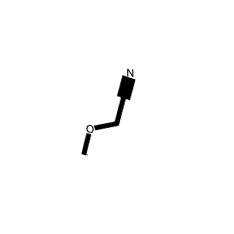 [CH2]OCC#N